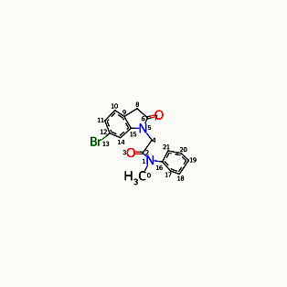 CN(C(=O)CN1C(=O)Cc2ccc(Br)cc21)c1ccccc1